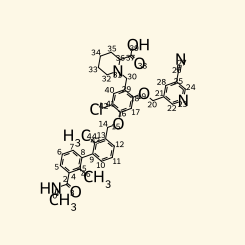 CNC(=O)c1cccc(-c2cccc(COc3cc(OCc4cncc(C#N)c4)c(CN4CCCCC4C(=O)O)cc3Cl)c2C)c1C